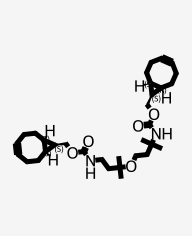 CC(C)(CCOC(C)(C)CCNC(=O)OC[C@@H]1[C@@H]2CCC#CCC[C@@H]21)NC(=O)OC[C@@H]1[C@@H]2CCC#CCC[C@@H]21